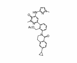 CC(=O)OCc1c(-c2cc(Nc3ccn(C)n3)c(=O)n(C)n2)cccc1N1CCc2cc(C3CC3)ccc2C1=O